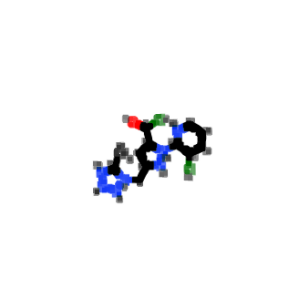 O=C(Cl)c1cc(Cn2nnnc2C(F)(F)F)nn1-c1ncccc1Cl